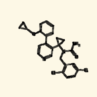 NC(=O)N(Cc1cc(Cl)ccc1Cl)C1(c2cnccc2-c2ccccc2OC2CC2)CC1